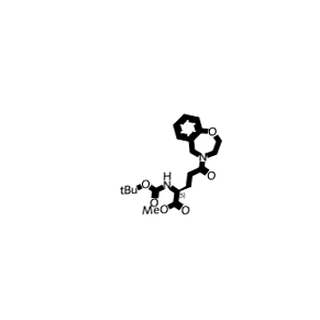 COC(=O)[C@H](CCC(=O)N1CCOc2ccccc2C1)NC(=O)OC(C)(C)C